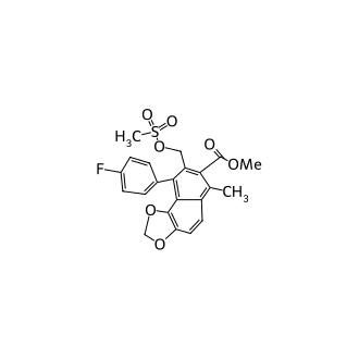 COC(=O)c1c(COS(C)(=O)=O)c(-c2ccc(F)cc2)c2c3c(ccc2c1C)OCO3